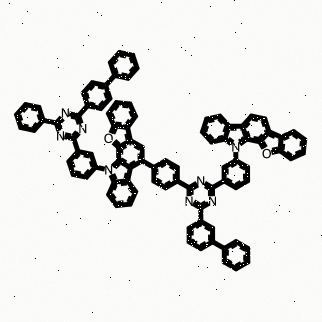 c1ccc(-c2ccc(-c3nc(-c4ccccc4)nc(-c4cccc(-n5c6ccccc6c6c(-c7ccc(-c8nc(-c9cccc(-c%10ccccc%10)c9)nc(-c9cccc(-n%10c%11ccccc%11c%11ccc%12c%13ccccc%13oc%12c%11%10)c9)n8)cc7)cc7c8ccccc8oc7c65)c4)n3)cc2)cc1